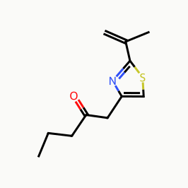 C=C(C)c1nc(CC(=O)CCC)cs1